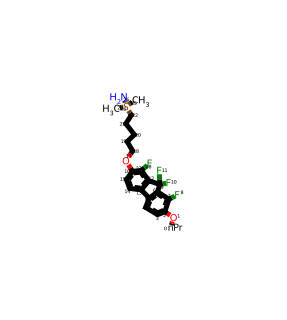 CCCOc1ccc2c(c1F)C(F)(F)c1c-2ccc(OCCCCCS(C)(C)N)c1F